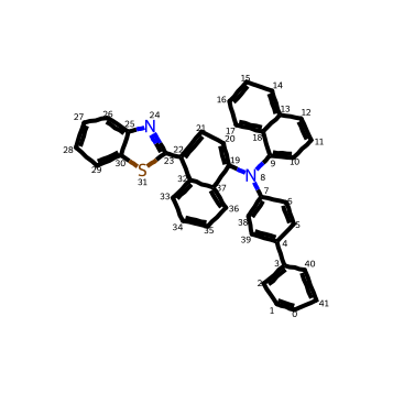 c1ccc(-c2ccc(N(c3cccc4ccccc34)c3ccc(-c4nc5ccccc5s4)c4ccccc34)cc2)cc1